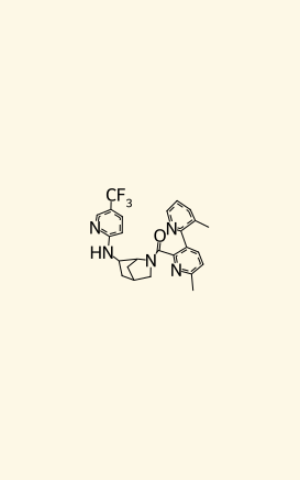 Cc1ccc(-c2ncccc2C)c(C(=O)N2CC3CC(Nc4ccc(C(F)(F)F)cn4)C2C3)n1